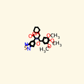 COc1cc(C(=O)/C(CC2CCCCC2)=C(/C(=O)O)c2ccc3nsnc3c2)cc(OC)c1OC